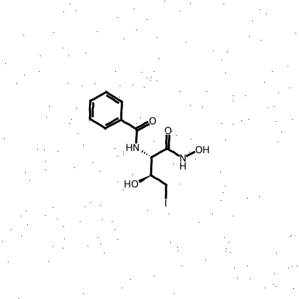 O=C(N[C@H](C(=O)NO)[C@H](O)CI)c1ccccc1